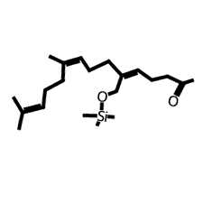 CC(=O)CCC=C(CCC=C(C)CCC=C(C)C)CO[Si](C)(C)C